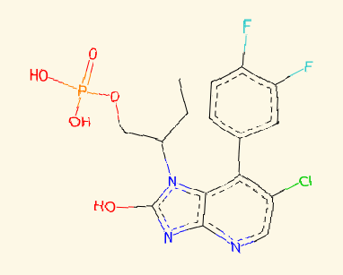 CCC(COP(=O)(O)O)n1c(O)nc2ncc(Cl)c(-c3ccc(F)c(F)c3)c21